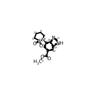 COC(=O)c1cc(N2CCCCS2(=O)=O)c2nc[nH]c2c1